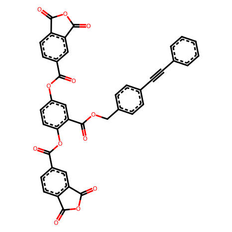 O=C(Oc1ccc(OC(=O)c2ccc3c(c2)C(=O)OC3=O)c(C(=O)OCc2ccc(C#Cc3ccccc3)cc2)c1)c1ccc2c(c1)C(=O)OC2=O